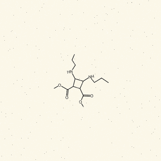 CCCNC1C(NCCC)C(C(=O)OC)C1C(=O)OC